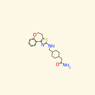 NC(=O)CC1CCC(CNc2nc3c(s2)CCOc2ccccc2-3)CC1